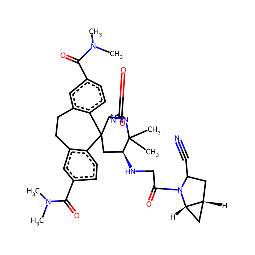 CN(C)C(=O)c1ccc2c(c1)CCc1cc(C(=O)N(C)C)ccc1C21C[C@H](NCC(=O)N2C(C#N)C[C@@H]3C[C@@H]32)C(C)(C)n2oc(=O)nc21